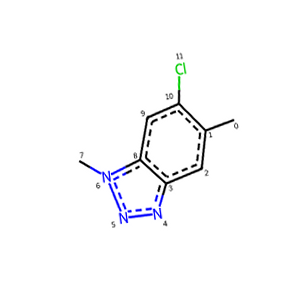 Cc1cc2nnn(C)c2cc1Cl